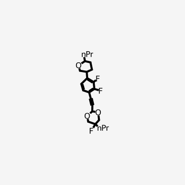 CCCC1CCC(c2ccc(C#CC3OCC(F)(CCC)CO3)c(F)c2F)CO1